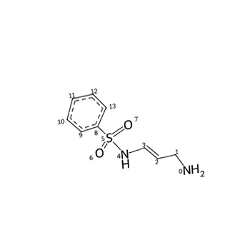 NC/C=C/NS(=O)(=O)c1ccccc1